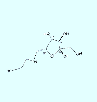 OCCNC[C@H]1O[C@@](O)(CO)[C@H](O)[C@H]1O